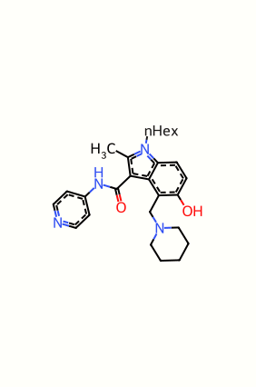 CCCCCCn1c(C)c(C(=O)Nc2ccncc2)c2c(CN3CCCCC3)c(O)ccc21